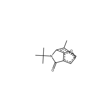 Cc1c2c3oc1cc3C(=O)N2C(C)(C)C